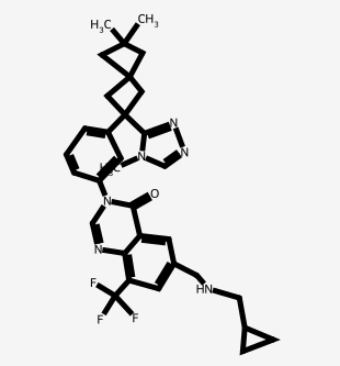 Cn1cnnc1C1(c2cccc(-n3cnc4c(C(F)(F)F)cc(CNCC5CC5)cc4c3=O)c2)CC2(CC(C)(C)C2)C1